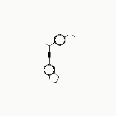 COc1ccc(C(O)C#Cc2ccc3c(c2)CCO3)cc1